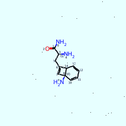 NC(=O)[C@@H](N)CC1=C[C@@]2(N)C=CC=CC12